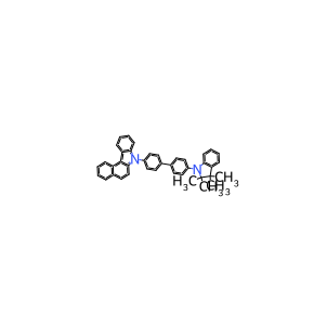 CC1(C)c2ccccc2N(c2ccc(-c3ccc(-n4c5ccccc5c5c6ccccc6ccc54)cc3)cc2)C1(C)C